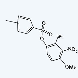 COc1ccc(OS(=O)(=O)c2ccc(C)cc2)c(C(C)C)c1[N+](=O)[O-]